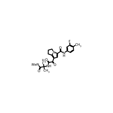 CNC(=O)C(C)(C)NC(=O)C(=O)c1cc(C(=O)Nc2ccc(C)c(F)c2)n2c1CCC2